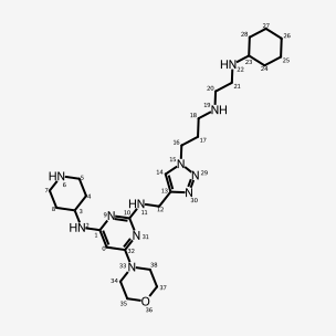 c1c(NC2CCNCC2)nc(NCc2cn(CCCNCCNC3CCCCC3)nn2)nc1N1CCOCC1